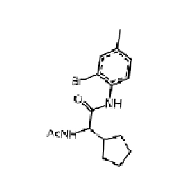 CC(=O)NC(C(=O)Nc1ccc(C)cc1Br)C1CCCC1